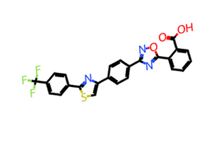 O=C(O)c1ccccc1-c1nc(-c2ccc(-c3csc(-c4ccc(C(F)(F)F)cc4)n3)cc2)no1